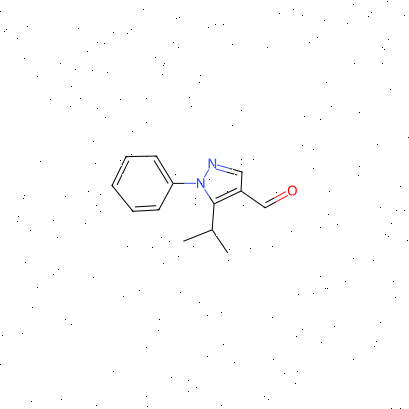 CC(C)c1c(C=O)cnn1-c1ccccc1